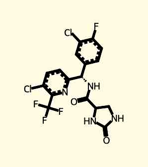 O=C1NCC(C(=O)N[C@@H](c2ccc(F)c(Cl)c2)c2ccc(Cl)c(C(F)(F)F)n2)N1